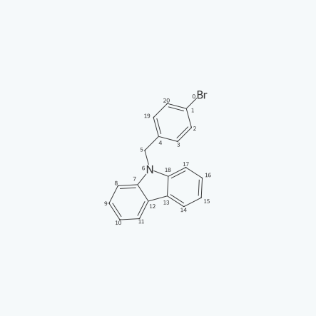 Brc1ccc(Cn2c3ccccc3c3ccccc32)cc1